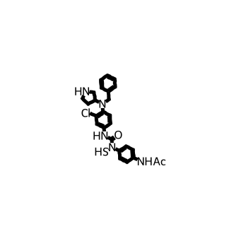 CC(=O)Nc1ccc(N(S)C(=O)Nc2ccc(N(Cc3ccccc3)C3CCNC3)c(Cl)c2)cc1